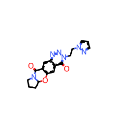 O=C1c2cc3nnn(CCn4cccn4)c(=O)c3cc2OC2CCCN12